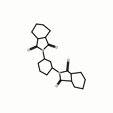 O=C1C2CCCCC2C(=O)N1C1CCCC(N2C(=O)C3CCCCC3C2=O)C1